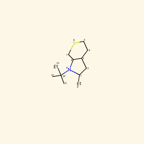 CCC1CC2CCSCC2N1C(C)(C)CC